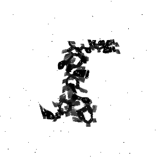 C[Si](C)(C)CCOCn1c(I)cc2c(=O)n(CC3(O)CCN(C(=O)[C@@H]4CCN(C(=O)O)C[C@H]4c4ccccc4)CC3)cnc21